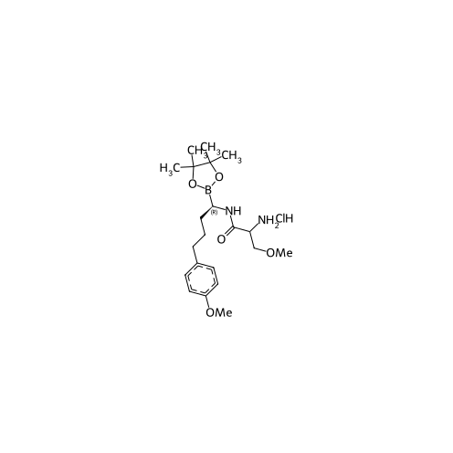 COCC(N)C(=O)N[C@@H](CCCc1ccc(OC)cc1)B1OC(C)(C)C(C)(C)O1.Cl